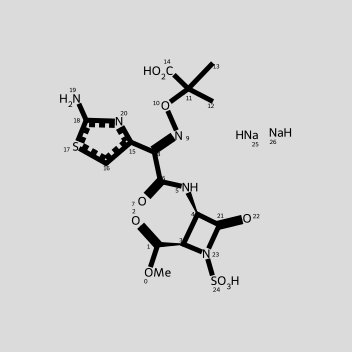 COC(=O)[C@H]1[C@@H](NC(=O)/C(=N/OC(C)(C)C(=O)O)c2csc(N)n2)C(=O)N1S(=O)(=O)O.[NaH].[NaH]